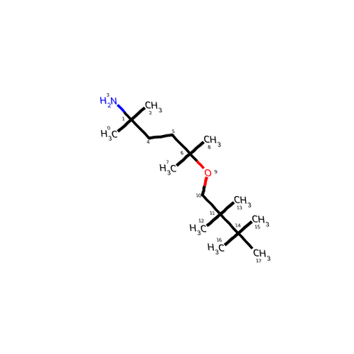 CC(C)(N)CCC(C)(C)OCC(C)(C)C(C)(C)C